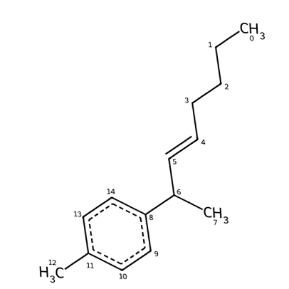 CCCCC=CC(C)c1ccc(C)cc1